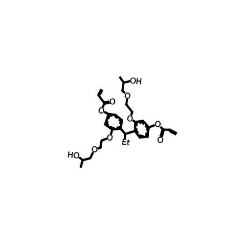 C=CC(=O)Oc1ccc(C(CC)c2ccc(OC(=O)C=C)cc2OCCOCC(C)O)c(OCCOCC(C)O)c1